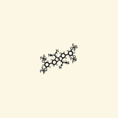 N#CC(C#N)=C1C2=C(C(=C(C#N)C#N)c3cc(-c4cc(OC(F)(F)F)cc(OC(F)(F)F)c4)ccc32)c2ccc(-c3cc(OC(F)(F)F)cc(OC(F)(F)F)c3)cc21